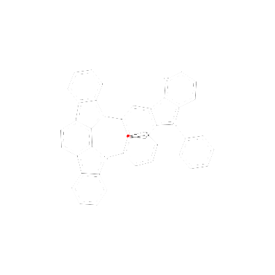 c1ccc(-n2c3ccc(-n4c5ccccc5c5ccc6c7ccccc7n(-c7ccccc7)c6c54)cc3c3ncccc32)cc1